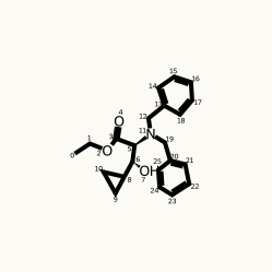 CCOC(=O)[C@H]([C@H](O)C1CC1)N(Cc1ccccc1)Cc1ccccc1